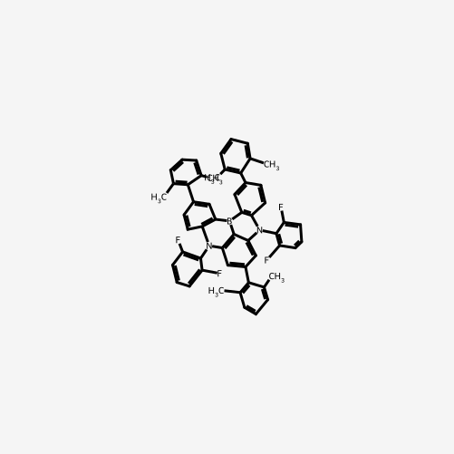 Cc1cccc(C)c1-c1ccc2c(c1)B1c3cc(-c4c(C)cccc4C)ccc3N(c3c(F)cccc3F)c3cc(-c4c(C)cccc4C)cc(c31)N2c1c(F)cccc1F